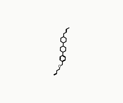 C=CCCOCc1ccc(C2CCC(C3CCC(CC=CC)CC3)CC2)cc1